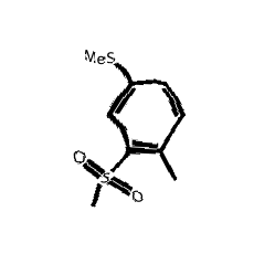 CSc1ccc(C)c(S(C)(=O)=O)c1